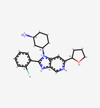 N[C@H]1CCC[C@@H](n2c(-c3ccccc3F)nc3cnc(C4CCCO4)cc32)C1